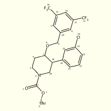 CC(C)(C)OC(=O)N1CCC(OCc2cc(C(F)(F)F)cc(C(F)(F)F)c2)C(c2cccc(Cl)c2)C1